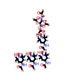 CC(=O)NC1CC(C)(C)N(O)C(C)(C)C1.CC(=O)NC1CC(C)(C)N(O)C(C)(C)C1.CC(=O)NC1CC(C)(C)N(O)C(C)(C)C1.CC(=O)NC1CC(C)(C)N(O)C(C)(C)C1.CC(=O)ON(CCN(OC(C)=O)OC(C)=O)OC(C)=O